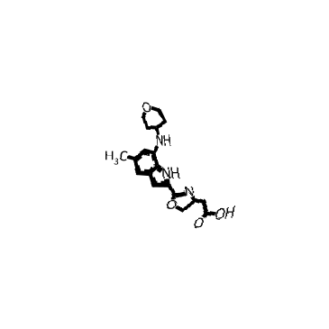 Cc1cc(NC2CCOCC2)c2[nH]c(C3=NC(CC(=O)O)CO3)cc2c1